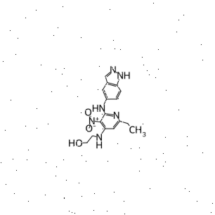 CCc1cc(NCCO)c([N+](=O)[O-])c(Nc2ccc3[nH]ncc3c2)n1